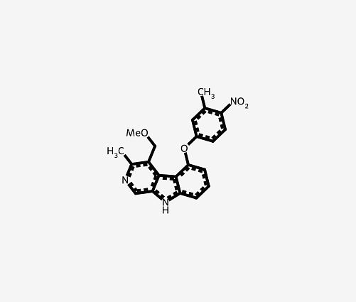 COCc1c(C)ncc2[nH]c3cccc(Oc4ccc([N+](=O)[O-])c(C)c4)c3c12